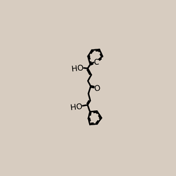 O=C(CC=C(O)c1ccccc1)CC=C(O)c1ccccc1